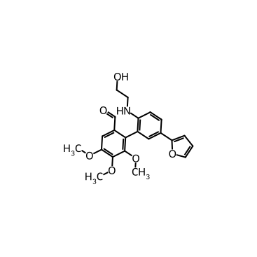 COc1cc(C=O)c(-c2cc(-c3ccco3)ccc2NCCO)c(OC)c1OC